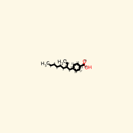 C=CC(CCCCCC)Cc1ccc(C(=O)O)cc1